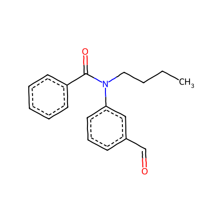 CCCCN(C(=O)c1ccccc1)c1cccc(C=O)c1